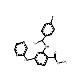 COC(=O)c1ccc(Nc2cnccn2)nc1NC(C)c1ccc(F)cc1